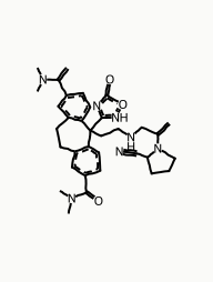 C=C(c1ccc2c(c1)CCc1cc(C(=O)N(C)C)ccc1C2(CCNCC(=C)N1CCCC1C#N)c1nc(=O)o[nH]1)N(C)C